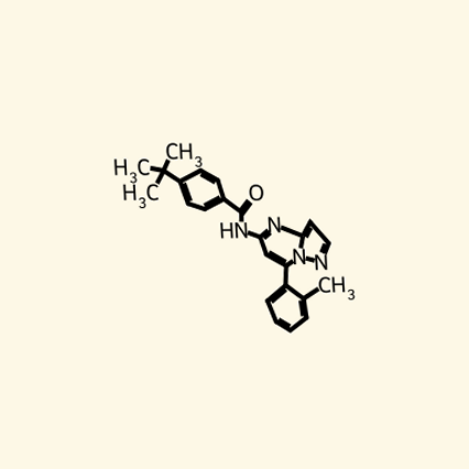 Cc1ccccc1-c1cc(NC(=O)c2ccc(C(C)(C)C)cc2)nc2ccnn12